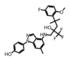 COc1ccc(F)cc1C(C)(C)CC(O)(CNc1cc(C)cc2c1cnn2-c1ccc(O)cc1)C(F)(F)F